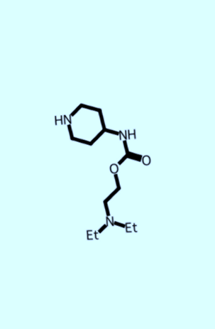 CCN(CC)CCOC(=O)NC1CCNCC1